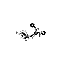 CC(C)(C)CC(=O)NC(CNC(=O)COC1CC(CNc2ccccn2)N(C(=O)OCc2ccccc2)C1)C(=O)O